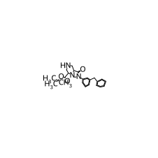 CC(C)(C)OC(=O)C1CNCC2C(=O)N(c3cccc(Cc4ccccc4)c3)CN12